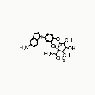 CC(N)[C@H]1O[C@H](Oc2ccc(N3CCc4cc(N)ccc43)cc2Cl)C(O)C(O)[C@@H]1O